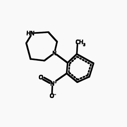 Cc1cccc([N+](=O)[O-])c1N1CCCNCC1